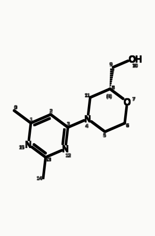 Cc1cc(N2CCO[C@@H](CO)C2)nc(C)n1